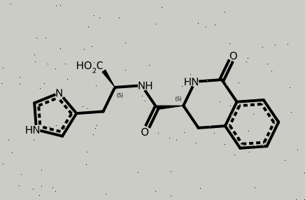 O=C1N[C@H](C(=O)N[C@@H](Cc2c[nH]cn2)C(=O)O)Cc2ccccc21